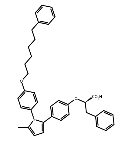 Cc1ccc(-c2ccc(O[C@H](Cc3ccccc3)C(=O)O)cc2)n1-c1ccc(OCCCCCCc2ccccc2)cc1